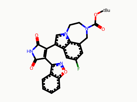 CC(C)(C)OC(=O)N1CCn2cc(C3=C(c4noc5ccccc45)C(=O)NC3=O)c3cc(F)cc(c32)C1